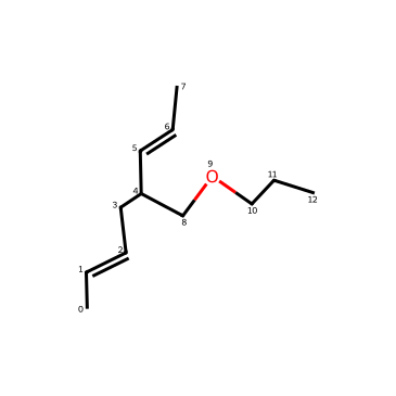 CC=CCC(C=CC)COCCC